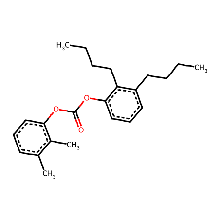 CCCCc1cccc(OC(=O)Oc2cccc(C)c2C)c1CCCC